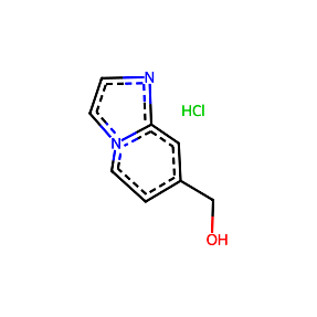 Cl.OCc1ccn2ccnc2c1